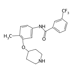 Cc1ccc(NC(=O)c2cccc(C(F)(F)F)c2)cc1OC1CCNCC1